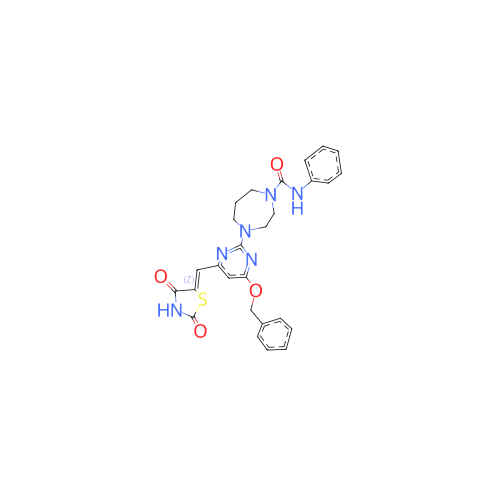 O=C1NC(=O)/C(=C/c2cc(OCc3ccccc3)nc(N3CCCN(C(=O)Nc4ccccc4)CC3)n2)S1